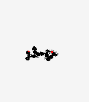 Cc1cc(C)c(-c2ccc3c(c2)c2cc(-c4c(C)cc(Cc5cc(C#N)c(-n6c7ccccc7c7ccc(-c8cc(C(F)(F)F)cc(C(F)(F)F)c8)cc76)cc5-c5nc(C)nc(C)n5)cc4C)ccc2n3-c2cc(-c3nc(-c4ccccc4)nc(-c4ccccc4)n3)ccc2C#N)c(C)c1